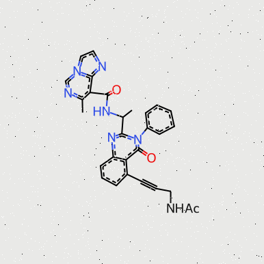 CC(=O)NCC#Cc1cccc2nc(C(C)NC(=O)c3c(C)ncn4ccnc34)n(-c3ccccc3)c(=O)c12